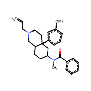 C=CCN1CCC2(c3cccc(OC)c3)CC(N(C)C(=O)c3ccccc3)CCC2C1